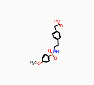 COc1ccc(S(=O)(=O)NCCc2ccc(CC(=O)O)cc2)cc1